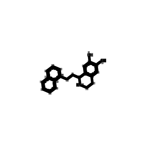 Oc1cc2c(cc1O)C(CCc1cccc3ccccc13)NCC2